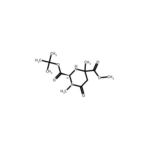 COC(=O)C1(C)CC(=O)N(C)[C@@H](C(=O)OC(C)(C)C)N1